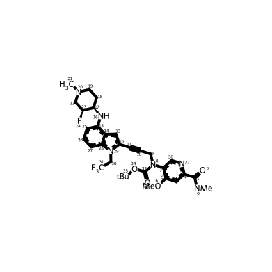 CNC(=O)c1cc(OC)c(N(CC#Cc2cc3c(N[C@@H]4CCN(C)C[C@@H]4F)cccc3n2CC(F)(F)F)C(=O)OC(C)(C)C)cn1